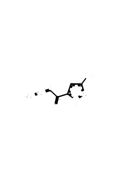 CC(C)(C)c1cc(C(=O)C=[N+]=[N-])on1